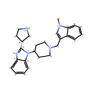 Cn1cc(CN2CCC(n3c([C@@H]4CCNC4)nc4ccccc43)CC2)c2ccccc21